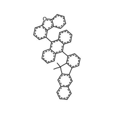 CC1(C)c2cc3ccccc3cc2-c2cccc(-c3c4ccccc4c(-c4cccc5oc6ccccc6c45)c4ccccc34)c21